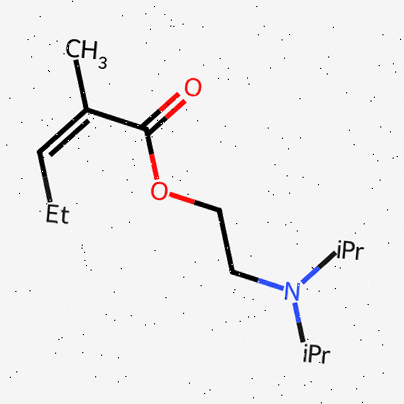 CCC=C(C)C(=O)OCCN(C(C)C)C(C)C